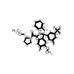 COC[C@H]1CCCN1C(=O)C(=O)N[C@@](Cc1ccccc1)(c1cc(F)cc(C(F)(F)F)c1)c1ccc(F)c(OC)c1